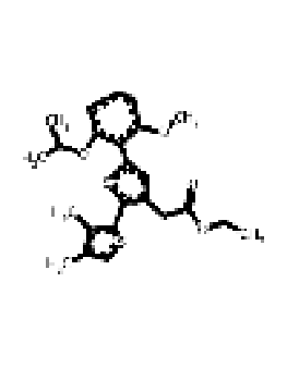 CCOC(=O)Cc1cc(-c2c(OC)cccc2OC(C)C)sc1-c1scc(C)c1C